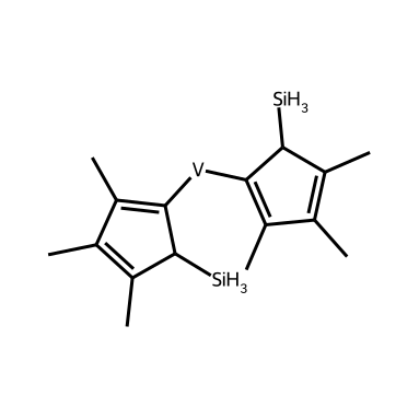 CC1=C(C)C([SiH3])[C]([V][C]2=C(C)C(C)=C(C)C2[SiH3])=C1C